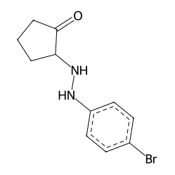 O=C1CCCC1NNc1ccc(Br)cc1